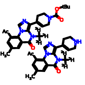 [2H]C([2H])([2H])n1c(=O)c2cc(C)cc(C(C)=O)c2n2cnc(C3=CCN(C(=O)OC(C)(C)C)CC3)c12.[2H]C([2H])([2H])n1c(=O)c2cc(C)cc(C(C)=O)c2n2cnc(C3=CCNCC3)c12